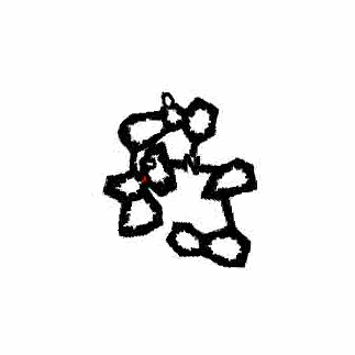 c1ccc(N(c2cccc(-c3cccc4ccccc34)c2)c2cccc3oc4ccc5c6ccc7ccccc7c6sc5c4c23)cc1